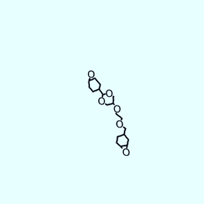 C(COC1COC(C2CCC3OC3C2)OC1)OCC1CCC2OC2C1